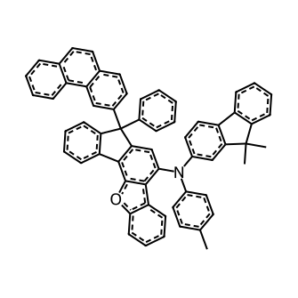 Cc1ccc(N(c2ccc3c(c2)C(C)(C)c2ccccc2-3)c2cc3c(c4oc5ccccc5c24)-c2ccccc2C3(c2ccccc2)c2ccc3ccc4ccccc4c3c2)cc1